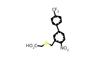 O=C(O)CSCc1cc(-c2ccc(C(F)(F)F)cc2)ccc1[N+](=O)[O-]